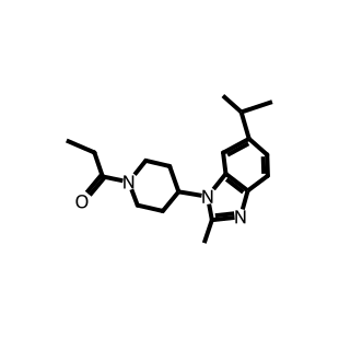 CCC(=O)N1CCC(n2c(C)nc3ccc(C(C)C)cc32)CC1